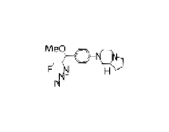 CO[C@H](c1ccc(N2CCN3CCC[C@H]3C2)cc1)[C@@H](CF)N=[N+]=[N-]